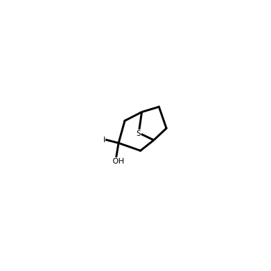 OC1(I)CC2CCC(C1)S2